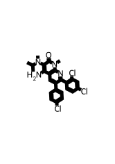 CC(C)N(C)c1c(N)c2cc(-c3ccc(Cl)cc3)c(-c3ccc(Cl)cc3Cl)nc2n(C)c1=O